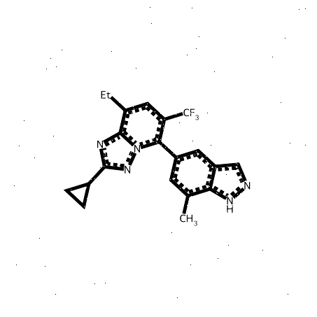 CCc1cc(C(F)(F)F)c(-c2cc(C)c3[nH]ncc3c2)n2nc(C3CC3)nc12